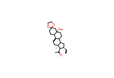 C=C[C@@H]1CC2C3CCC4(OC)CC5(CCC4C3=CC[C@]2(C)C1C(C)=O)OCCO5